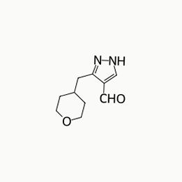 O=Cc1c[nH]nc1CC1CCOCC1